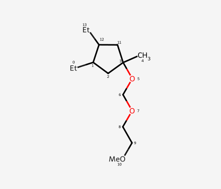 CCC1CC(C)(OCOCCOC)CC1CC